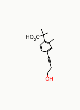 Cc1cc(C#CCCO)ccc1C(C)(C)C(=O)O